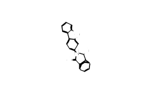 O=C1C2C3C=CC(CC3)C2C(=O)N1c1ccc2c(c1)oc1ccccc12